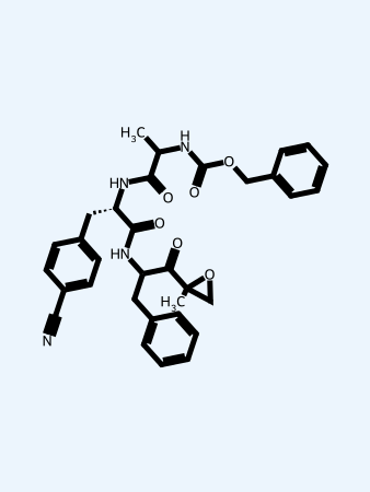 CC(NC(=O)OCc1ccccc1)C(=O)N[C@@H](Cc1ccc(C#N)cc1)C(=O)NC(Cc1ccccc1)C(=O)C1(C)CO1